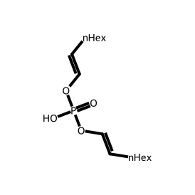 CCCCCCC=COP(=O)(O)OC=CCCCCCC